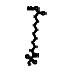 COC(=O)CCCCCCCCCNS(C)(=O)=O